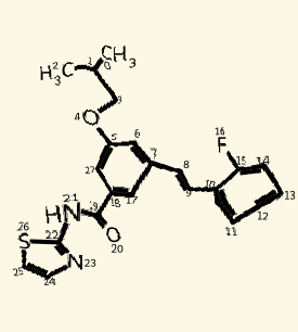 CC(C)COc1cc(C=Cc2ccccc2F)cc(C(=O)Nc2nccs2)c1